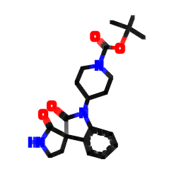 CC(C)(C)OC(=O)N1CCC(N2C(=O)C3(CCNC3=O)c3ccccc32)CC1